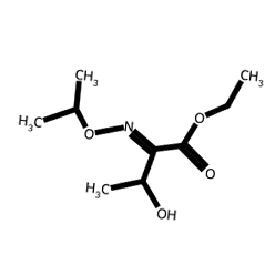 CCOC(=O)C(=NOC(C)C)C(C)O